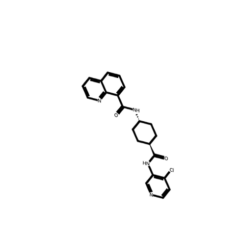 O=C(N[C@H]1CC[C@H](C(=O)Nc2cnccc2Cl)CC1)c1cccc2cccnc12